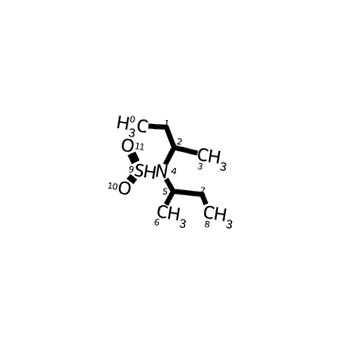 CCC(C)N(C(C)CC)[SH](=O)=O